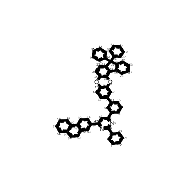 c1ccc(-c2nc(-c3cccc(-c4ccc5c(c4)Oc4c(ccc6c4-c4ccccc4C6(c4ccccc4)c4ccccc4)O5)c3)cc(-c3ccc4c(ccc5ccccc54)c3)n2)cc1